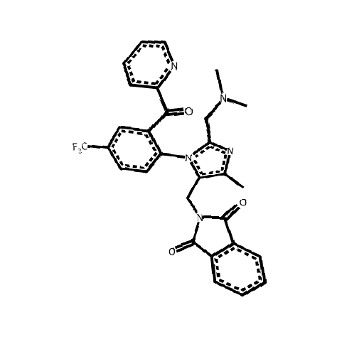 Cc1nc(CN(C)C)n(-c2ccc(C(F)(F)F)cc2C(=O)c2ccccn2)c1CN1C(=O)c2ccccc2C1=O